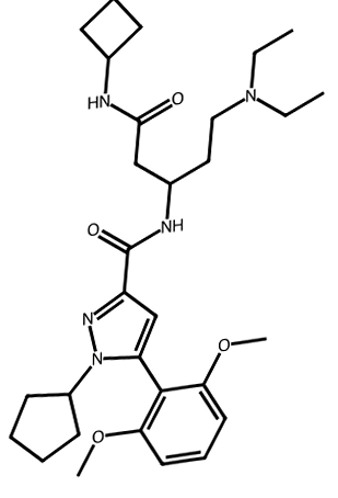 CCN(CC)CCC(CC(=O)NC1CCC1)NC(=O)c1cc(-c2c(OC)cccc2OC)n(C2CCCC2)n1